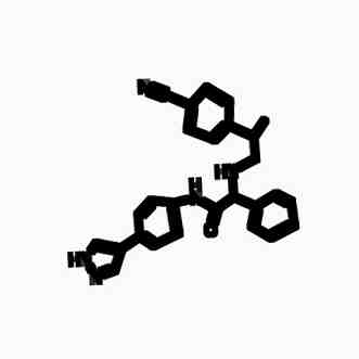 CC(CNC(C(=O)Nc1ccc(-c2cn[nH]c2)cc1)c1ccccc1)c1ccc(C#N)cc1